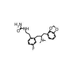 CN(C)C(Cc1cc(F)ccc1CCNC(N)=O)Cc1cccc2c1OCO2